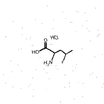 CC(F)CC(N)C(=O)O.Cl